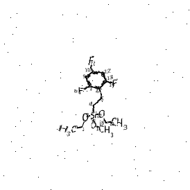 CCO[Si](CCc1c(F)cc(F)cc1F)(OC)OCC